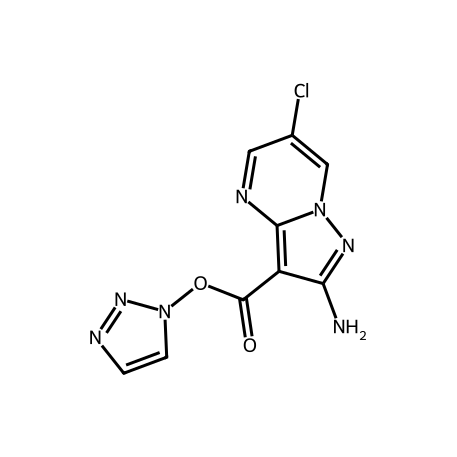 Nc1nn2cc(Cl)cnc2c1C(=O)On1ccnn1